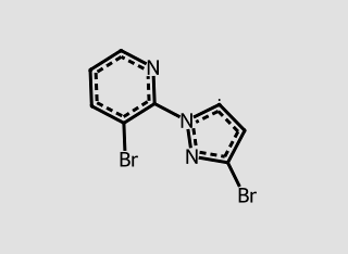 Brc1c[c]n(-c2ncccc2Br)n1